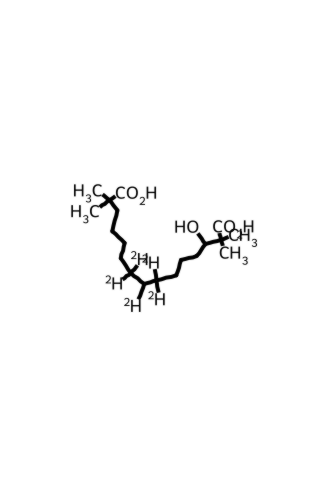 [2H]C(C([2H])([2H])CCCCC(C)(C)C(=O)O)C([2H])([2H])CCCC(O)C(C)(C)C(=O)O